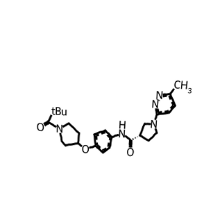 Cc1ccc(N2CC[C@H](C(=O)Nc3ccc(OC4CCN(C(=O)C(C)(C)C)CC4)cc3)C2)nn1